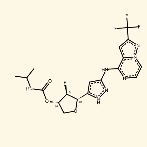 CC(C)NC(=O)O[C@H]1CO[C@@H](c2cc(Nc3nccn4nc(C(F)(F)F)cc34)n[nH]2)[C@@H]1F